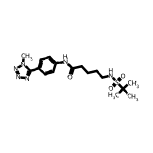 Cn1nnnc1-c1ccc(NC(=O)CCCCNS(=O)(=O)C(C)(C)C)cc1